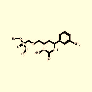 CCOP(=O)(COCCCC(NC(=O)OC(C)(C)C)c1cccc(N)c1)OCC